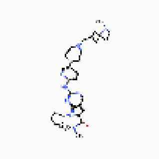 CN(C)C(=O)c1cc2cnc(Nc3ccc(C4CCN(CC5CC6(CCN6C(C)(C)C)C5)CC4)cn3)nc2n1C1CCCC1